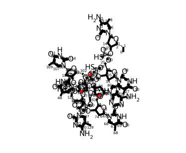 CC[C@H]1O[C@@H](n2cc(C)c(N)nc2=O)CC1OP(=O)(S)OC[C@H]1O[C@@H](n2cc(C)c(=O)[nH]c2=O)CC1OP(=O)(S)OC[C@H]1O[C@@H](n2cc(C)c(=O)[nH]c2=O)CC1OP(=O)(S)OC[C@H]1O[C@@H](n2cc(C)c(=O)[nH]c2=O)CC1OP(=O)(S)OC[C@H]1O[C@@H](n2cnc3c(N)ncnc32)CC1OP(=O)(S)OC[C@H]1O[C@@H](n2cc(C)c(=O)[nH]c2=O)CC1OP(=O)(S)OC[C@H]1O[C@@H](n2cc(C)c(N)nc2=O)CC1OP(=O)(S)OC